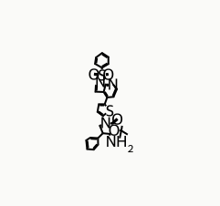 CC(C)(C)OC(=O)N(CC(CN)c1ccccc1)c1ccc(-c2ccnc3c2ccn3S(=O)(=O)c2ccccc2)s1